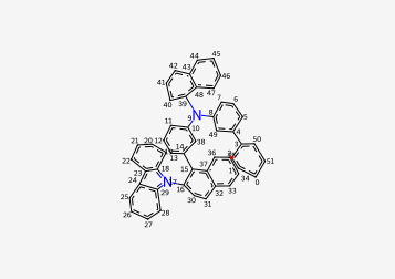 c1ccc(-c2cccc(N(c3cccc(-c4c(-n5c6ccccc6c6ccccc65)ccc5ccccc45)c3)c3cccc4ccccc34)c2)cc1